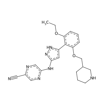 CCOc1cccc(OCC2CCCNC2)c1-c1cc(Nc2cnc(C#N)cn2)n[nH]1